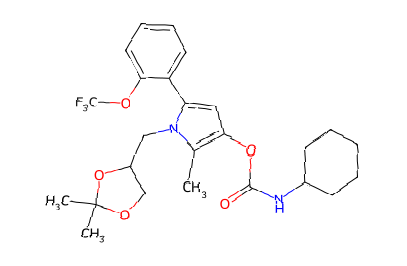 Cc1c(OC(=O)NC2CCCCC2)cc(-c2ccccc2OC(F)(F)F)n1CC1COC(C)(C)O1